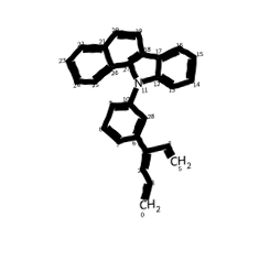 C=C/C=C(\C=C)c1cccc(-n2c3ccccc3c3ccc4ccccc4c32)c1